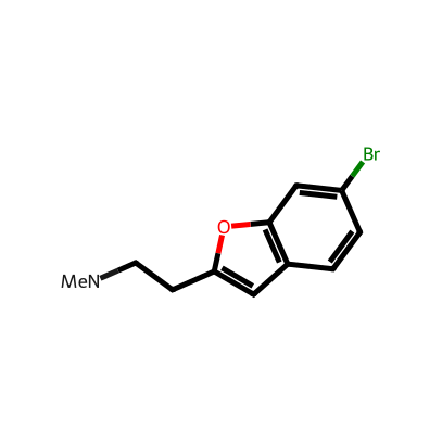 CNCCc1cc2ccc(Br)cc2o1